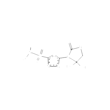 CCN(CC)S(=O)(=O)c1nnc(N2C(=O)NCC2(C)O)s1